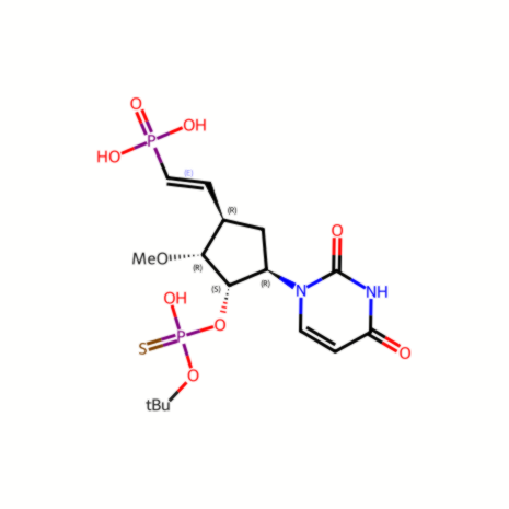 CO[C@H]1[C@@H](OP(O)(=S)OC(C)(C)C)[C@H](n2ccc(=O)[nH]c2=O)C[C@@H]1/C=C/P(=O)(O)O